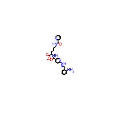 COC(=O)C(CCCCNC(=O)c1ccccn1)NC(=O)c1ccc(NN=Cc2ccccc2N)nc1